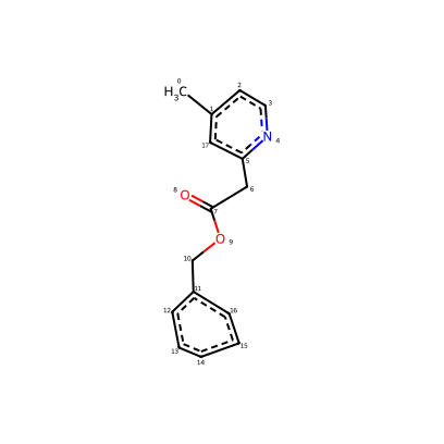 Cc1ccnc(CC(=O)OCc2ccccc2)c1